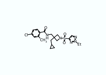 CCn1ncc(S(=O)(=O)N2CC(CNC(=O)c3ccc(Cl)cc3C)(CC3CC3)C2)n1